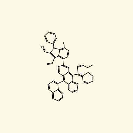 C=Cc1c(C=N)n(-c2ccccc2)c2c(F)ccc(-c3ccc4c(-c5cccc6ccccc56)c5ccccc5c(C(/C=C\CC)=C5\C=CC=CC5)c4c3)c12